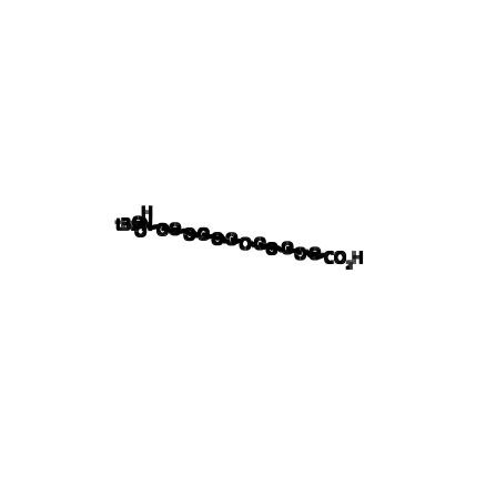 CC(C)(C)OC(=O)NCCOCCOCCOCCOCCOCCOCCOCCOCCOCCOCCOCCOCCC(=O)O